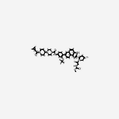 COC(=O)NCC(=O)N1C[C@@H](C)C[C@H]1c1nc2c(ccc3cc(-c4ccc(NC(=O)N5CCN(C6CCN(C(=O)C7CC7)CC6)CC5)cc4OC(F)(F)F)ccc32)[nH]1